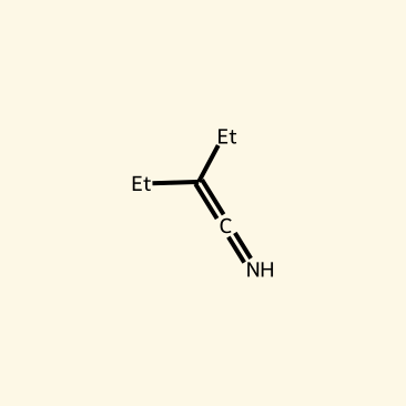 CCC(=C=N)CC